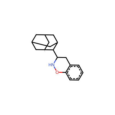 c1ccc2c(c1)CC(C1[C]3CC4CC(C3)CC1C4)NO2